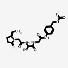 C/C=C1/CCC(=O)N1CC(=O)NC(C(=O)NCC(=O)Nc1ccc(COC(=O)F)cc1)C(C)C